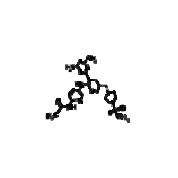 CC(=O)Nc1ccc(Nc2ncc(CN3CCN(S(C)(=O)=O)CC3)cc2-c2nc(C)nc(N)n2)cn1